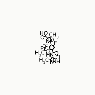 Cc1n[nH]c(Cl)c1NC(=O)c1cc(F)c(-c2nc(C(=O)O)c(C)o2)cc1OC(C)C(F)(F)F